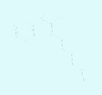 CC(C)CCCCCOC(=O)Nc1cccnc1